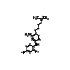 CN(C)CCCCc1cnc(Nc2ccc(F)cc2F)nc1N